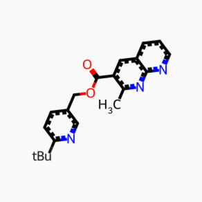 Cc1nc2ncccc2cc1C(=O)OCc1ccc(C(C)(C)C)nc1